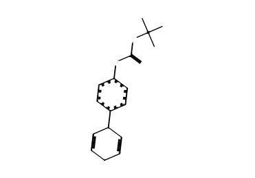 CC(C)(C)OC(=O)Nc1ccc(C2C=CCC=C2)cc1